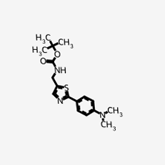 CN(C)c1ccc(-c2ncc(CNC(=O)OC(C)(C)C)s2)cc1